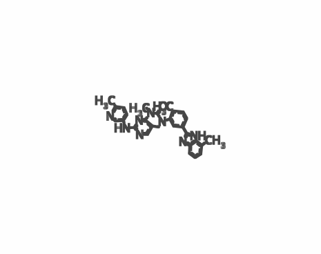 Cc1ccc(Nc2ncc3c(n2)N(C)C(=O)N(c2cc(-c4nc5cccc(C)c5[nH]4)ccc2C)C3)cn1